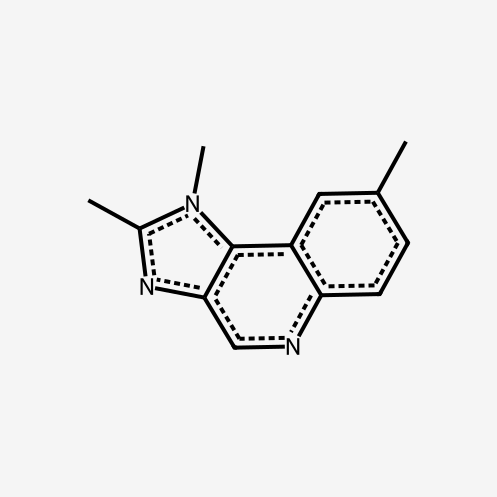 Cc1ccc2ncc3nc(C)n(C)c3c2c1